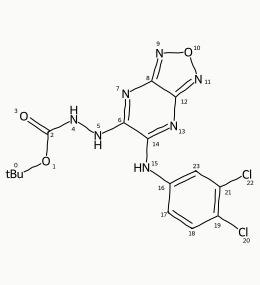 CC(C)(C)OC(=O)NNc1nc2nonc2nc1Nc1ccc(Cl)c(Cl)c1